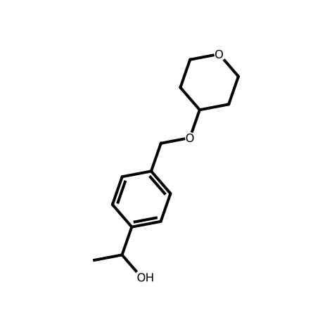 CC(O)c1ccc(COC2CCOCC2)cc1